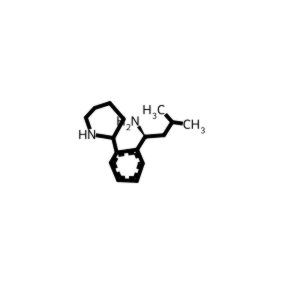 CC(C)C[C@H](N)c1ccccc1C1CCCCN1